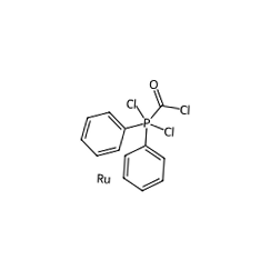 O=C(Cl)P(Cl)(Cl)(c1ccccc1)c1ccccc1.[Ru]